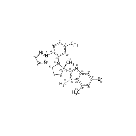 Cc1c[c]c(-n2nccn2)c(N2CCC[C@@]2(C)c2nc3cc(Br)cc(C)c3n2C)c1